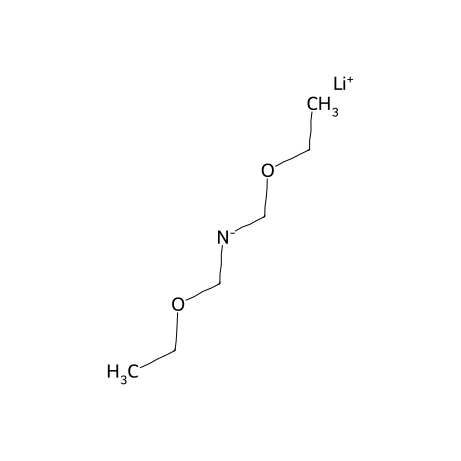 CCOC[N-]COCC.[Li+]